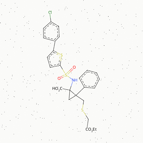 CCOC(=O)CSCC1(c2ccccc2)CC1(NS(=O)(=O)c1ccc(-c2ccc(Cl)cc2)s1)C(=O)O